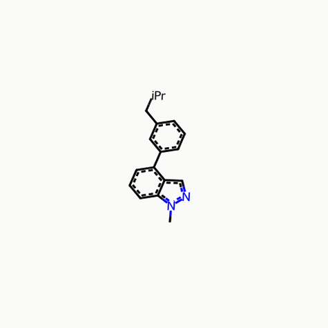 CC(C)Cc1cccc(-c2cccc3c2cnn3C)c1